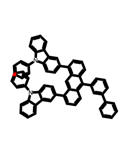 c1ccc(-c2cccc(-c3c4cccc(-c5ccc6c(c5)c5ccccc5n6-c5ccccc5)c4cc4c(-c5ccc6c(c5)c5ccccc5n6-c5ccccc5)cccc34)c2)cc1